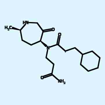 C[C@@H]1CC[C@H](N(CCC(N)=O)C(=O)[CH]CC2CCCCC2)C(=O)CN1